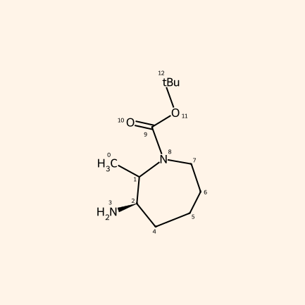 CC1[C@H](N)CCCCN1C(=O)OC(C)(C)C